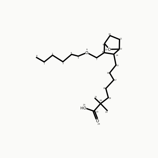 CCCCCCOCC1C2CCC(O2)C1CCCCCC(C)(C)C(=O)O